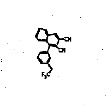 N#Cc1cc2ccccc2c(-c2cccc(CC(F)(F)F)c2)c1C#N